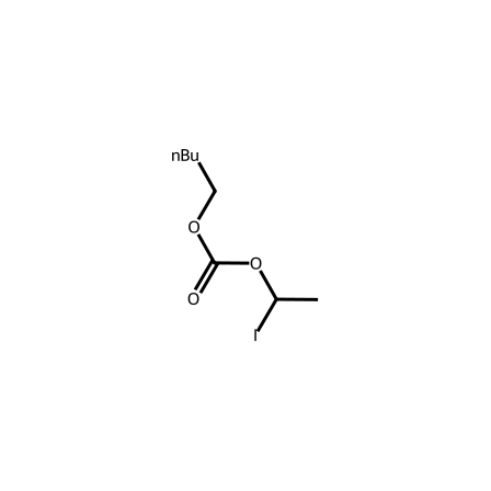 CCCCCOC(=O)OC(C)I